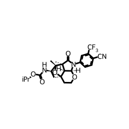 CC(C)OC(=O)N[C@@H]1C[C@@]23CCO[C@H]4[C@@H]2[C@](C)(C(=O)N4c2ccc(C#N)c(C(F)(F)F)c2)[C@]1(C)O3